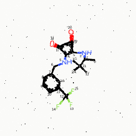 CC(Nc1c(NCc2cccc(C(F)(F)F)c2)c(=O)c1=O)C(C)(C)C